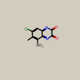 Cc1c(Cl)cc2c(c1[N+](=O)[O-])=NC(=O)C(=O)N=2